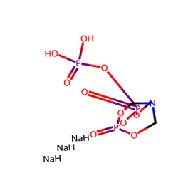 O=P(O)(O)OP1(=O)OCN2COP(=O)(OC2)O1.[NaH].[NaH].[NaH]